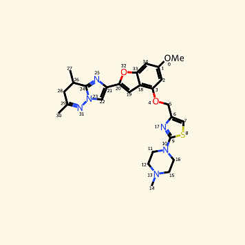 COc1cc(OCc2csc(N3CCN(C)CC3)n2)c2cc(-c3cn4c(n3)C(C)CC(C)=N4)oc2c1